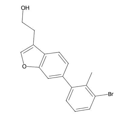 Cc1c(Br)cccc1-c1ccc2c(CCO)coc2c1